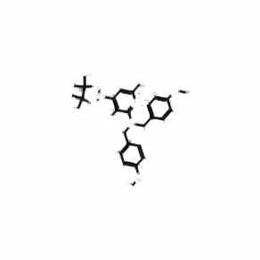 COc1ccc(CN(Cc2ccc(OC)cc2)c2nc(C)cc(B3OC(C)(C)C(C)(C)O3)c2F)cc1